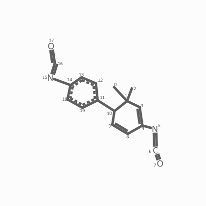 CC1(C)C=C(N=C=O)C=CC1c1ccc(N=C=O)cc1